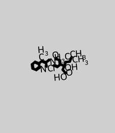 Cc1c(Cn2ccc(C(O)(CCC(C)(C)C)CC(=O)O)cc2=O)c(Cl)nc2ccccc12